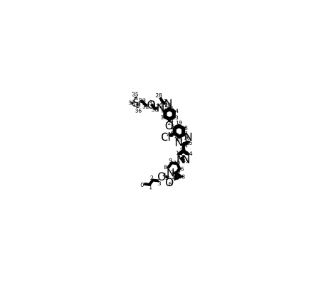 CCCCOC(=O)N1CCC(n2cc(-c3cnc4ccc(Oc5ccc6nc(C)n(COCC[Si](C)(C)C)c6c5)c(Cl)c4n3)cn2)CC12CC2